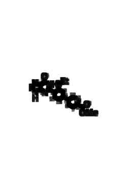 CCOc1cc(-c2ccc(C(=O)OC)nc2)ccc1-c1nc2[nH]nnc2c(=O)[nH]1